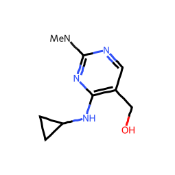 CNc1ncc(CO)c(NC2CC2)n1